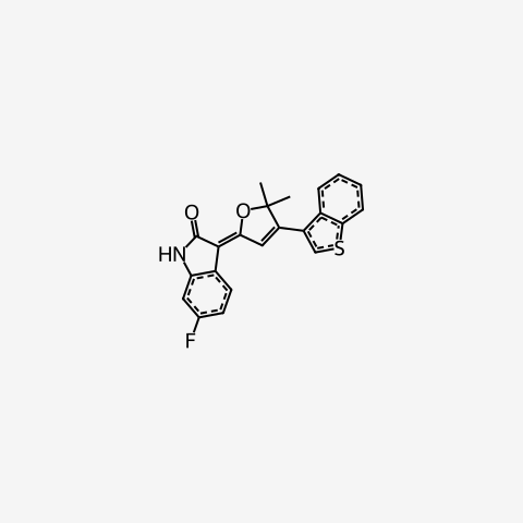 CC1(C)OC(=C2C(=O)Nc3cc(F)ccc32)C=C1c1csc2ccccc12